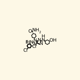 NC(=O)[C@H]1CC[C@@H](n2c(Nc3c(F)cc(Cl)cc3Cl)nc3cnc(NC4CCC[C@@H](O)C4)nc32)CC1